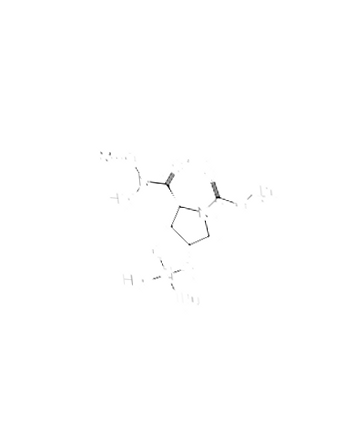 CON(C)C(=O)[C@@H]1C[C@@H](O[Si](C)(C)C(C)(C)C)CN1C(=O)OC(C)(C)C